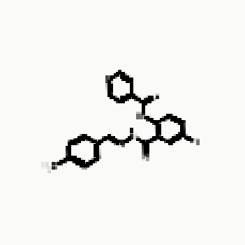 Cc1ccc(C=NNC(=O)c2cc(Cl)ccc2NC(=O)c2ccncc2)cc1